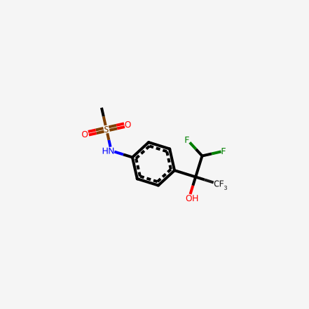 CS(=O)(=O)Nc1ccc(C(O)(C(F)F)C(F)(F)F)cc1